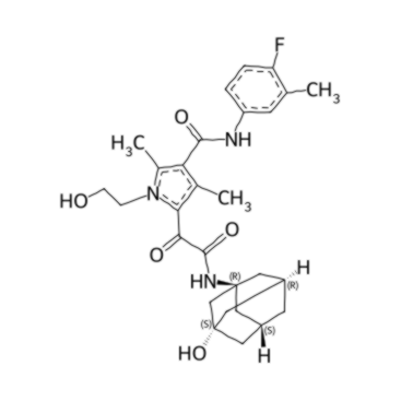 Cc1cc(NC(=O)c2c(C)c(C(=O)C(=O)N[C@@]34C[C@@H]5C[C@@H](C[C@@](O)(C5)C3)C4)n(CCO)c2C)ccc1F